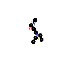 C1=CC(c2ccc3c(c2)oc2ccc4sc(-c5ccccc5)nc4c23)CC=C1N(c1ccc(-c2ccccc2)cc1)c1cccc2c1sc1ccccc12